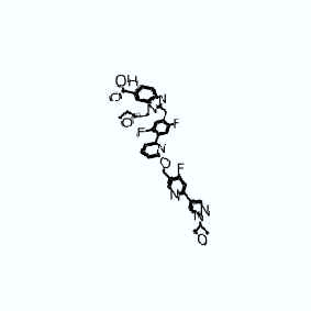 O=C(O)c1ccc2nc(Cc3cc(F)c(-c4cccc(OCc5cnc(-c6cnn(C7COC7)c6)cc5F)n4)cc3F)n(C[C@@H]3CCO3)c2c1